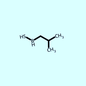 CC(C)CBS